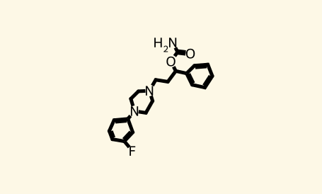 NC(=O)OC(CCN1CCN(c2cccc(F)c2)CC1)c1ccccc1